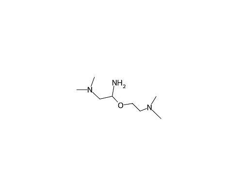 CN(C)CCOC(N)CN(C)C